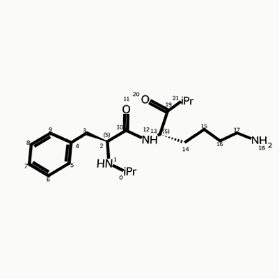 CC(C)N[C@@H](Cc1ccccc1)C(=O)N[C@@H](CCCCN)C(=O)C(C)C